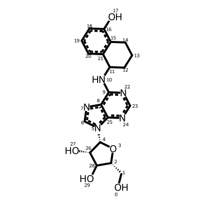 OC[C@H]1O[C@@H](n2cnc3c(NC4CCCc5c(O)cccc54)ncnc32)[C@@H](O)C1O